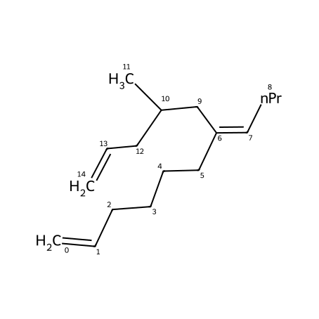 C=CCCCCC(=CCCC)CC(C)CC=C